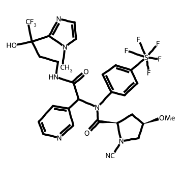 CO[C@@H]1C[C@H](C(=O)N(c2ccc(S(F)(F)(F)(F)F)cc2)C(C(=O)NCCC(O)(c2nccn2C)C(F)(F)F)c2cccnc2)N(C#N)C1